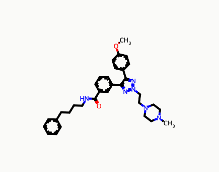 COc1ccc(-c2nn(CCN3CCN(C)CC3)nc2-c2cccc(C(=O)NCCCCc3ccccc3)c2)cc1